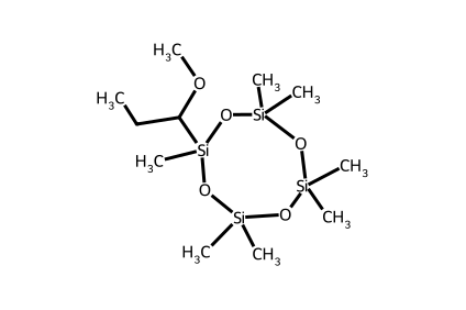 CCC(OC)[Si]1(C)O[Si](C)(C)O[Si](C)(C)O[Si](C)(C)O1